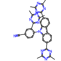 Cc1nc(C)nc(-c2ccc3c4ccc(-c5nc(C)nc(C)n5)cc4n(-c4ccc(C#N)cc4-c4nc(C)nc(C)n4)c3c2)n1